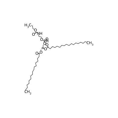 C=CCCCCCCCCCCCCCCCC(=O)OC[C@H](CO[PH](=O)OCCNC(=O)OCCC)OC(=O)CCCCCCCCCCCCCCCCC